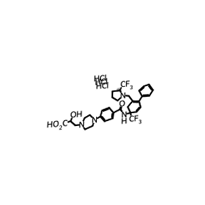 Cl.Cl.Cl.O=C(NC1(C(F)(F)F)C=CC(c2ccccc2)=C(CN2CCC[C@H]2C(F)(F)F)C1)c1ccc(N2CCN(CC(O)C(=O)O)CC2)cc1